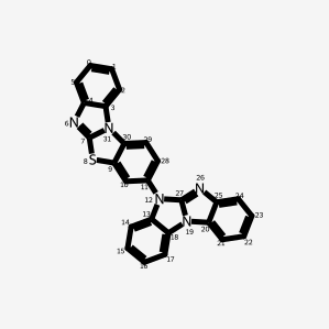 c1ccc2c(c1)nc1sc3cc(-n4c5ccccc5n5c6ccccc6nc45)ccc3n12